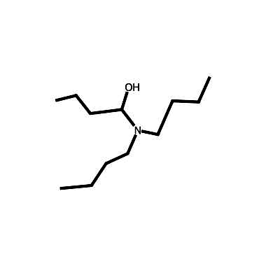 CCCCN(CCCC)C(O)CCC